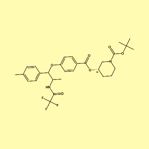 Cc1ccc(C(Oc2ccc(C(=O)O[C@H]3CCCN(C(=O)OC(C)(C)C)C3)cc2)C(C)NC(=O)C(F)(F)F)cc1